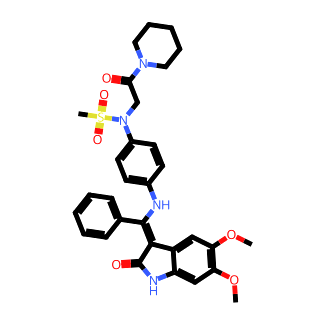 COc1cc2c(cc1OC)C(=C(Nc1ccc(N(CC(=O)N3CCCCC3)S(C)(=O)=O)cc1)c1ccccc1)C(=O)N2